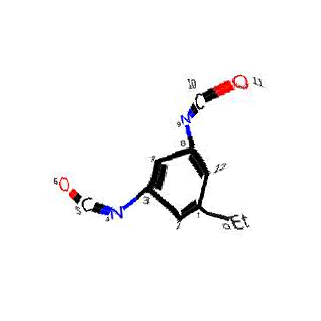 CCc1cc(N=C=O)[c]c(N=C=O)c1